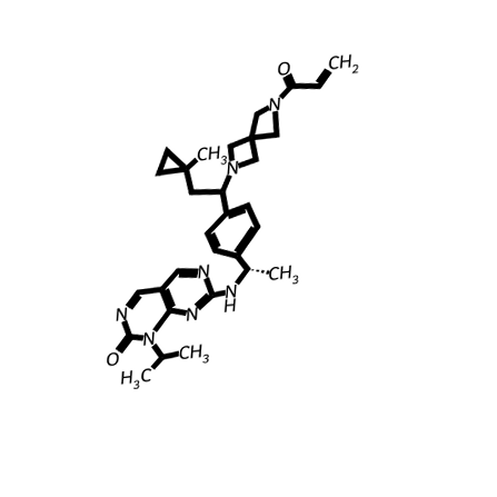 C=CC(=O)N1CC2(C1)CN(C(CC1(C)CC1)c1ccc([C@H](C)Nc3ncc4cnc(=O)n(C(C)C)c4n3)cc1)C2